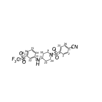 N#Cc1ccc(S(=O)(=O)N2CCC(Nc3cccc(S(=O)(=O)C(F)(F)F)c3)CC2)cc1